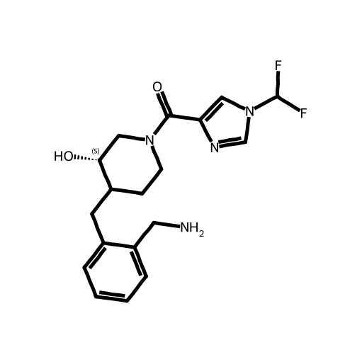 NCc1ccccc1CC1CCN(C(=O)c2cn(C(F)F)cn2)C[C@H]1O